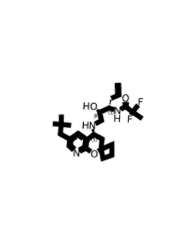 C=CC[C@H](NC(=O)C(C)(F)F)[C@H](O)CN[C@H]1CC2(CCC2)Oc2ncc(CC(C)(C)C)cc21